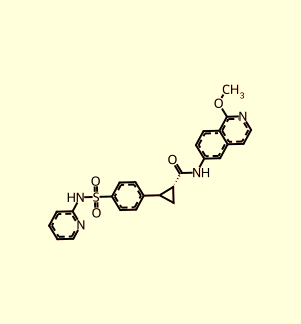 COc1nccc2cc(NC(=O)[C@@H]3CC3c3ccc(S(=O)(=O)Nc4ccccn4)cc3)ccc12